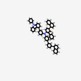 c1ccc(-n2c3ccccc3c3c(-c4cccc(N(c5ccc(-c6cccc(-c7cccc8ccccc78)c6)cc5)c5ccc(-c6cccc7ccccc67)c6sc7ccccc7c56)c4)cccc32)cc1